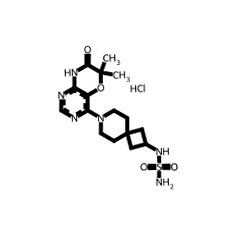 CC1(C)Oc2c(ncnc2N2CCC3(CC2)CC(NS(N)(=O)=O)C3)NC1=O.Cl